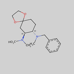 CN(Cc1ccccc1)[C@H]1CCC2(C[C@@H]1N(C)C(=O)O)OCCO2